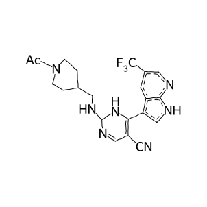 CC(=O)N1CCC(CNC2N=CC(C#N)=C(c3c[nH]c4ncc(C(F)(F)F)cc34)N2)CC1